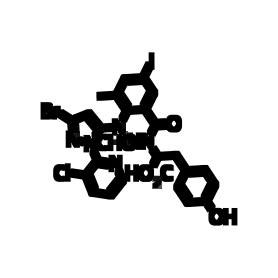 Cc1cc(I)cc(C(=O)NC(Cc2ccc(O)cc2)C(=O)O)c1N(C=O)c1cc(Br)nn1-c1ncccc1Cl